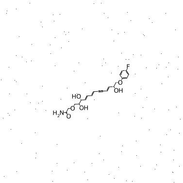 NC(=O)COC[C@H](O)[C@H](O)/C=C/C=C/C#C/C=C/[C@H](O)COc1ccc(F)cc1